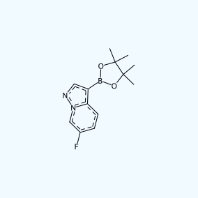 CC1(C)OB(c2cnn3cc(F)ccc23)OC1(C)C